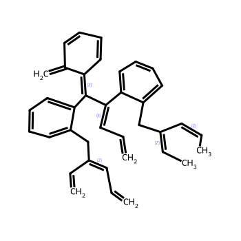 C=C/C=C(\C=C)Cc1ccccc1C(/C(=C/C=C)c1ccccc1CC(/C=C\C)=C/C)=c1/ccccc1=C